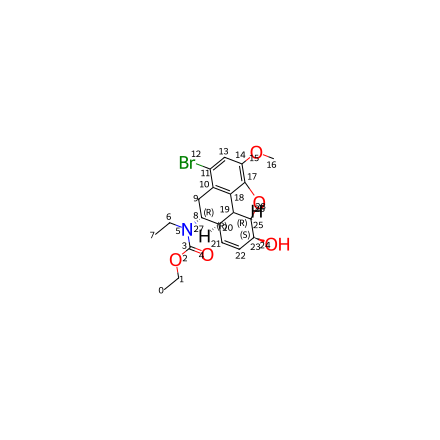 CCOC(=O)N(CC)[C@@H]1Cc2c(Br)cc(OC)c3c2C2[C@H]1C=C[C@H](O)[C@@H]2O3